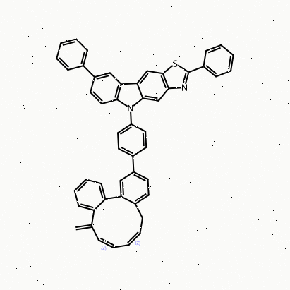 C=C1/C=C\C=C/Cc2ccc(-c3ccc(-n4c5ccc(-c6ccccc6)cc5c5cc6sc(-c7ccccc7)nc6cc54)cc3)cc2-c2ccccc21